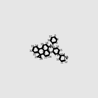 c1ccc(N(c2ccc(-c3cccnc3)cc2)c2ccc3c4c(cccc24)C2(CC2)c2ccccc2-3)cc1